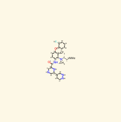 CNCCN(C)c1c(NC(=O)c2cncc(-c3ccnnc3)n2)ccc(Oc2ccccc2F)c1C(F)(F)F